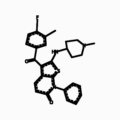 Cc1cc(C(=O)c2c(NC3CCN(C)CC3)sc3c2ccc(=O)n3-c2ccccc2)ccc1F